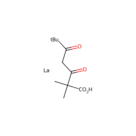 CC(C)(C)C(=O)CC(=O)C(C)(C)C(=O)O.[La]